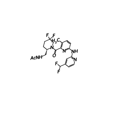 CC(=O)NC[C@H]1CCC(F)(F)CN1C(=O)c1nc(Nc2cc(C(F)F)ccn2)ccc1C